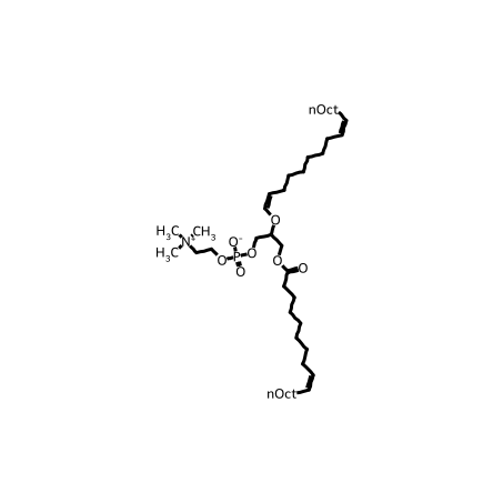 CCCCCCCC/C=C\CCCCCC/C=C\OC(COC(=O)CCCCCCC/C=C\CCCCCCCC)COP(=O)([O-])OCC[N+](C)(C)C